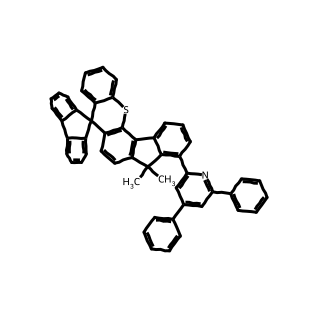 CC1(C)c2ccc3c(c2-c2cccc(-c4cc(-c5ccccc5)cc(-c5ccccc5)n4)c21)Sc1ccccc1C31c2ccccc2-c2ccccc21